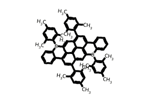 Cc1cc(C)c(B2c3ccccc3-c3cc(-c4c(C)cc(C)cc4C)c4cc5c6c(cc(-c7c(C)cc(C)cc7C)c7cc2c3c4c76)-c2ccccc2B5c2c(C)cc(C)cc2C)c(C)c1